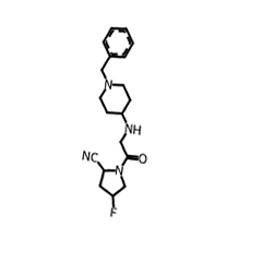 N#CC1CC(F)CN1C(=O)CNC1CCN(Cc2ccccc2)CC1